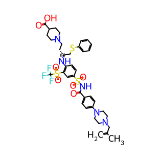 C=C(C)CN1CCN(c2ccc(C(=O)NS(=O)(=O)c3ccc(N[C@H](CCN4CCC(C(=O)O)CC4)CSc4ccccc4)c(S(=O)(=O)C(F)(F)F)c3)cc2)CC1